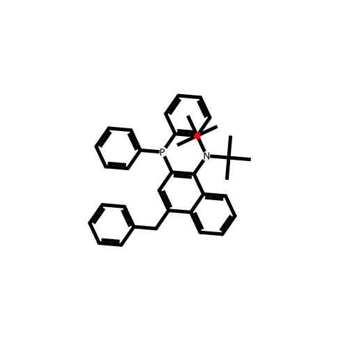 CC(C)(C)N(c1c(P(c2ccccc2)c2ccccc2)cc(Cc2ccccc2)c2ccccc12)C(C)(C)C